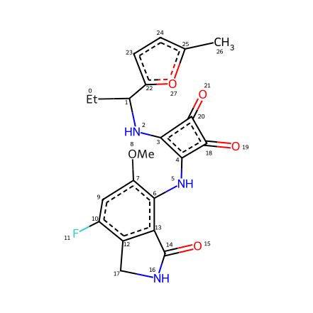 CCC(Nc1c(Nc2c(OC)cc(F)c3c2C(=O)NC3)c(=O)c1=O)c1ccc(C)o1